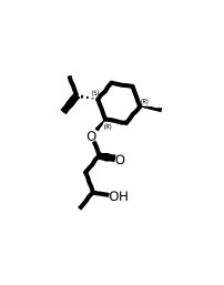 C=C(C)[C@@H]1CC[C@@H](C)C[C@H]1OC(=O)CC(C)O